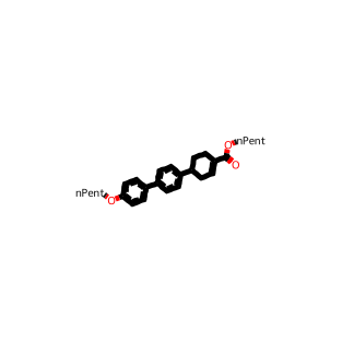 CCCCCOC(=O)C1=CCC(c2ccc(-c3ccc(OCCCCC)cc3)cc2)CC1